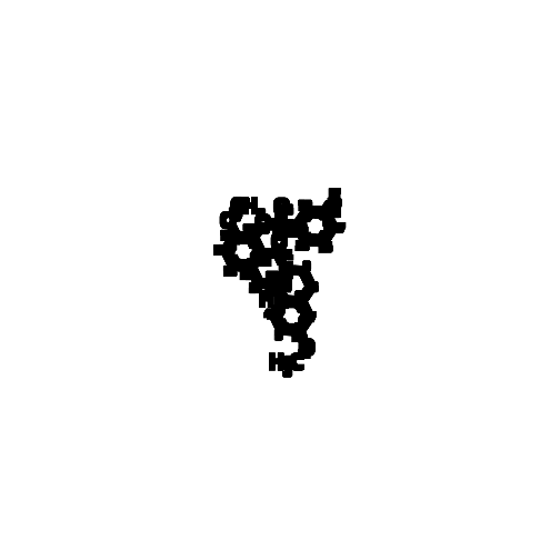 COc1ccc2c(c1)CCN1Cc3c(ccc(OC)c3OS(=O)(=O)c3cccc(F)c3)C[C@@H]21